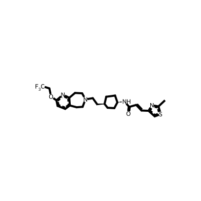 Cc1nc(/C=C/C(=O)N[C@H]2CC[C@H](CCN3CCc4ccc(OCC(F)(F)F)nc4CC3)CC2)cs1